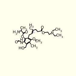 CCN(CC)CCOC(=O)CC/C(C)=C/Cc1c(OC)c(C)c(CO)c(NC=O)c1OC(=O)C(C)N